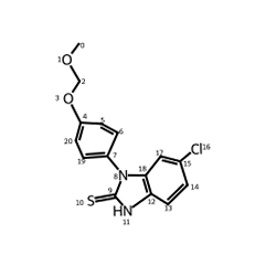 COCOc1ccc(-n2c(=S)[nH]c3ccc(Cl)cc32)cc1